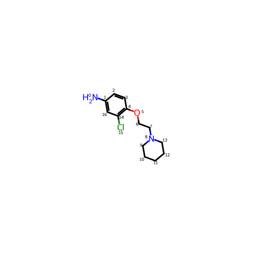 Nc1ccc(OCCN2CCCCC2)c(Cl)c1